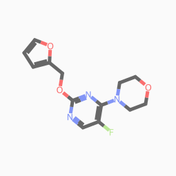 Fc1cnc(OCc2ccco2)nc1N1CCOCC1